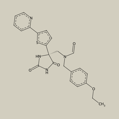 CCOc1ccc(CN(C=O)C[C@@]2(c3ccc(-c4ccccn4)s3)NC(=O)NC2=O)cc1